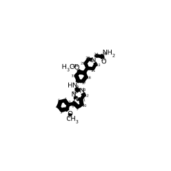 COc1ccccc1-c1ccc2cnc(Nc3ccc(C4CCN(CC(N)=O)CC4)c(OC)c3)nn12